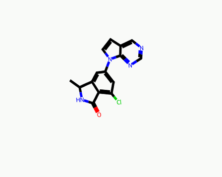 CC1NC(=O)c2c(Cl)cc(-n3ccc4cncnc43)cc21